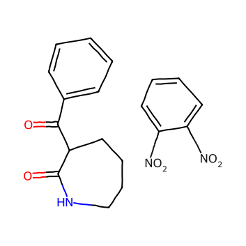 O=C1NCCCCC1C(=O)c1ccccc1.O=[N+]([O-])c1ccccc1[N+](=O)[O-]